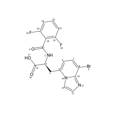 O=C(N[C@@H](Cc1ccc(Br)c2nccn12)C(=O)O)c1c(F)cccc1F